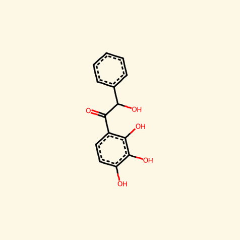 O=C(c1ccc(O)c(O)c1O)C(O)c1ccccc1